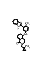 Cc1ccc(Nc2cccc3c2CCN(CC2(C)CC2)C3=O)cc1-c1nc2ccccc2[nH]1